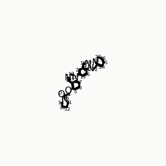 O=C(COc1cccc2c1C=NCN2c1ccc2c(cnn2Cc2ccccn2)c1)N1CCCC1